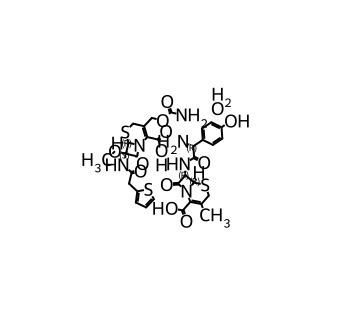 CC1=C(C(=O)O)N2C(=O)[C@@H](NC(=O)[C@H](N)c3ccc(O)cc3)[C@H]2SC1.CO[C@@]1(NC(=O)Cc2cccs2)C(=O)N2C(C(=O)O)=C(COC(N)=O)CS[C@@H]21.O